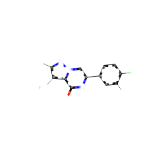 Cc1cc(-c2cn3nc(C(=O)O)c(C(C)C)c3c(=O)[nH]2)ccc1Cl